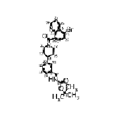 CC(C)(C)OC(=O)NCc1cccc(C2CCN(C(=O)c3ccc(Br)c4cccnc34)CC2)c1